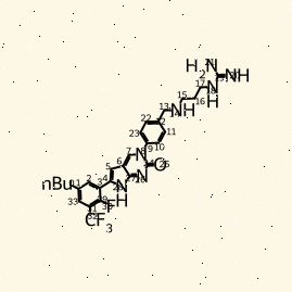 CCCCc1cc(-c2cc3cn(-c4ccc(CNCCCNC(=N)N)cc4)c(=O)nc3[nH]2)c(F)c(C(F)(F)F)c1